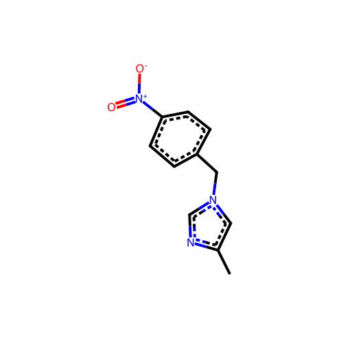 Cc1cn(Cc2ccc([N+](=O)[O-])cc2)cn1